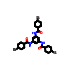 CCC1CCC(C(=O)Nc2cc(NC(=O)C3CCC(CC)CC3)cc(NC(=O)C3CCC(CC)CC3)c2)CC1